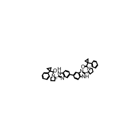 O=C(N1CCC[C@H]1c1nc2cc(-c3ccc4[nH]c([C@@H]5CCCN5C(=O)C5(c6ccccc6)CC5)nc4c3)ccc2[nH]1)C1(c2ccccc2)CC1